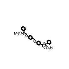 CON=C(COc1ccc(COc2ccc(C(CC(=O)O)=NOc3ccccc3)cc2)cc1)c1ccccc1